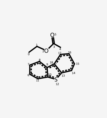 CCOC(C)=O.c1ccc2c(c1)sc1ccccc12